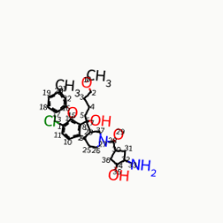 COCCCCC(O)(c1cccc(Cl)c1Oc1cccc(C)c1)C1CCCN(C(=O)C2CC(N)C(O)C2)C1